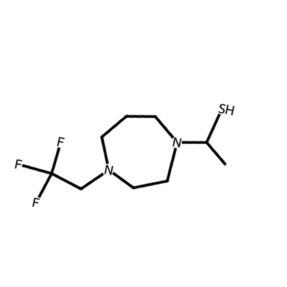 CC(S)N1CCCN(CC(F)(F)F)CC1